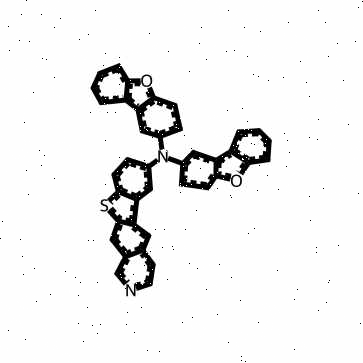 c1ccc2c(c1)oc1ccc(N(c3ccc4oc5ccccc5c4c3)c3ccc4sc5cc6cnccc6cc5c4c3)cc12